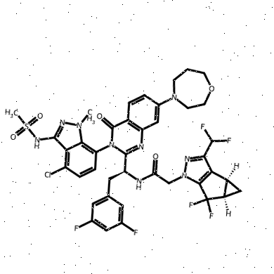 Cn1nc(NS(C)(=O)=O)c2c(Cl)ccc(-n3c([C@H](Cc4cc(F)cc(F)c4)NC(=O)Cn4nc(C(F)F)c5c4C(F)(F)[C@@H]4C[C@H]54)nc4cc(N5CCCOCC5)ccc4c3=O)c21